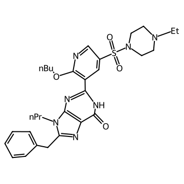 CCCCOc1ncc(S(=O)(=O)N2CCN(CC)CC2)cc1-c1nc2c(nc(Cc3ccccc3)n2CCC)c(=O)[nH]1